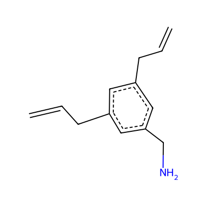 C=CCc1cc(CN)cc(CC=C)c1